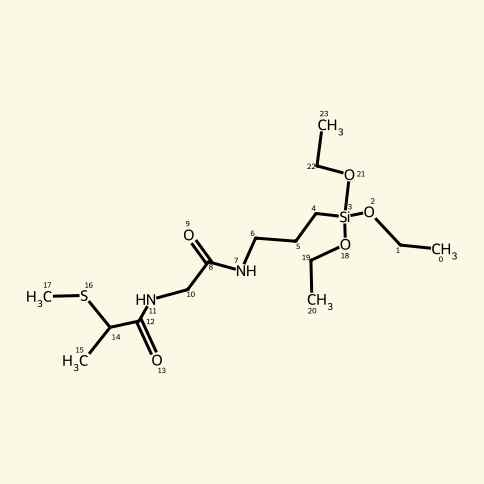 CCO[Si](CCCNC(=O)CNC(=O)C(C)SC)(OCC)OCC